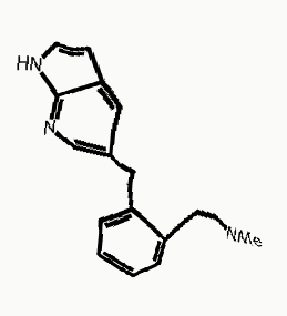 CNCc1ccccc1Cc1cnc2[nH]ccc2c1